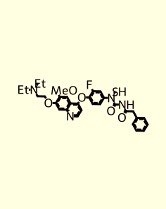 CCN(CC)CCOc1cc2nccc(Oc3ccc(N(S)C(=O)NC(=O)Cc4ccccc4)cc3F)c2cc1OC